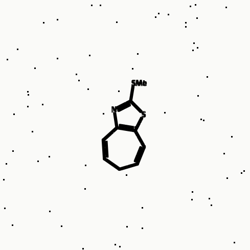 CSc1nc2c(s1)C=CCC=C2